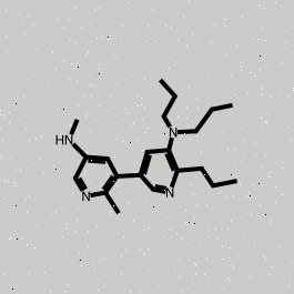 CCCc1ncc(-c2cc(NC)cnc2C)cc1N(CCC)CCC